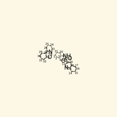 O=C([C@H]1CC[C@H](NS(=O)(=O)c2cnc3ccccc3c2)CC1)N1CCCCC1c1ccccc1